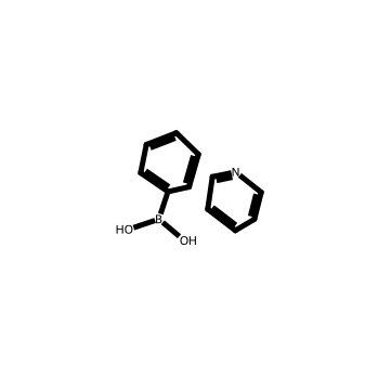 OB(O)c1ccccc1.c1ccncc1